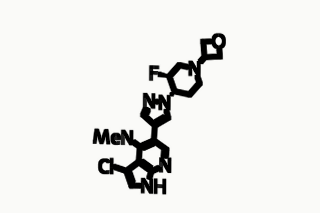 CNc1c(-c2cnn([C@H]3CCN(C4COC4)C[C@@H]3F)c2)cnc2[nH]cc(Cl)c12